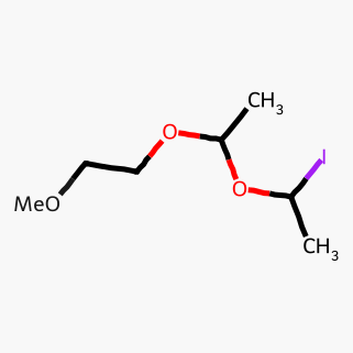 COCCOC(C)OC(C)I